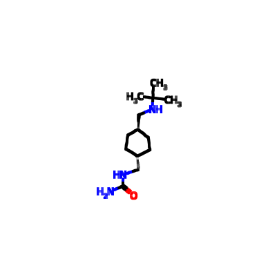 CC(C)(C)NC[C@H]1CC[C@H](CNC(N)=O)CC1